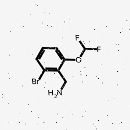 NCc1c(Br)cccc1OC(F)F